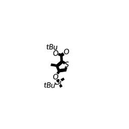 Cc1c(O[Si](C)(C)C(C)(C)C)csc1C(=O)OC(C)(C)C